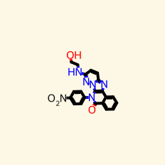 O=c1c2ccccc2c2nc3ccc(NCCO)nn3c2n1-c1ccc([N+](=O)[O-])cc1